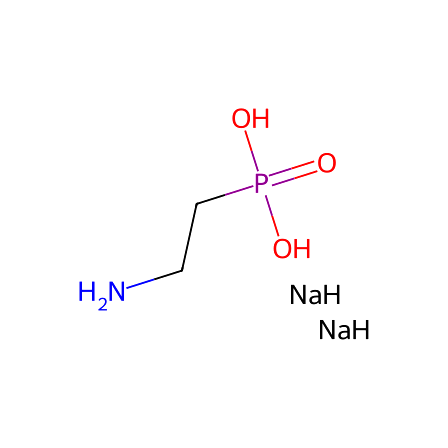 NCCP(=O)(O)O.[NaH].[NaH]